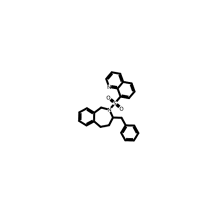 O=S(=O)(c1cccc2cccnc12)N1Cc2ccccc2CCC1Cc1ccccc1